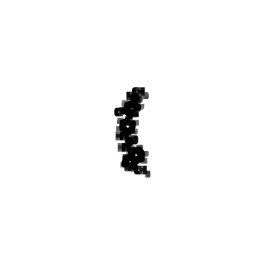 Cc1nccc2c(NC(=O)NC3CCN(c4ncc(C(C)(F)F)cc4Cl)CC3)cccc12